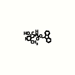 Cc1cnccc1C[C@H](NC(=O)OCC1c2ccccc2-c2ccccc21)C(=O)O